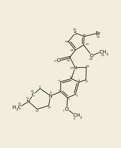 COc1cc2c(cc1N1CCN(C)CC1)N(C(=O)c1csc(Br)c1OC)CC2